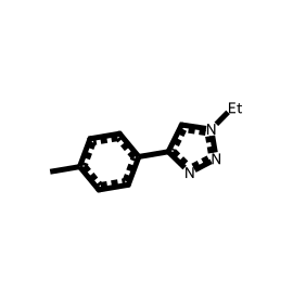 CCn1cc(-c2ccc(C)cc2)nn1